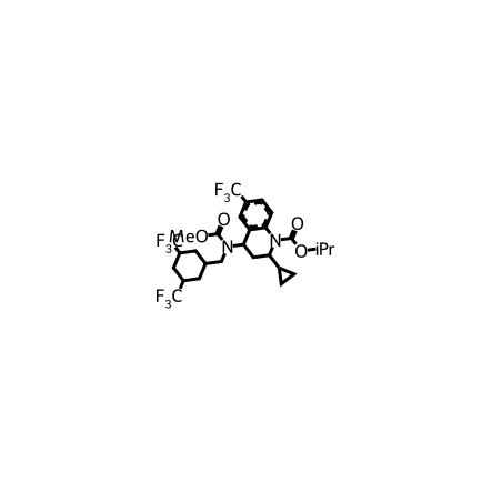 COC(=O)N(CC1CC(C(F)(F)F)CC(C(F)(F)F)C1)C1CC(C2CC2)N(C(=O)OC(C)C)c2ccc(C(F)(F)F)cc21